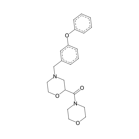 O=C(C1CN(Cc2cccc(Oc3ccccc3)c2)CCO1)N1CCOCC1